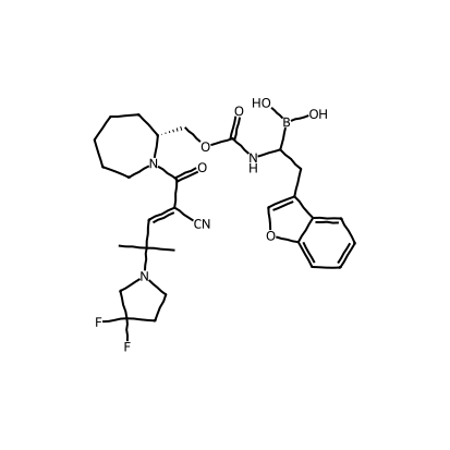 CC(C)(C=C(C#N)C(=O)N1CCCCC[C@@H]1COC(=O)NC(Cc1coc2ccccc12)B(O)O)N1CCC(F)(F)C1